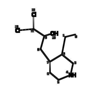 CCC1CNCCC1CC(O)C(Cl)Cl